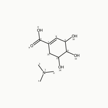 CN(C)C.O=C(O)C1=CC(O)C(O)C(O)C1